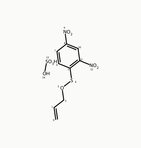 C=CCOSc1ccc([N+](=O)[O-])cc1[N+](=O)[O-].O=S(=O)(O)O